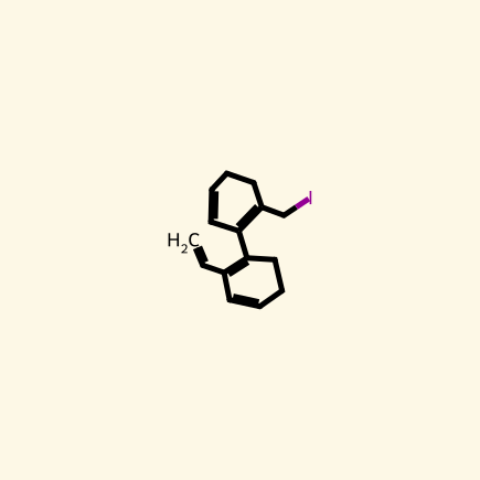 C=CC1=C(C2=C(CI)CCC=C2)CCC=C1